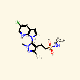 Cn1nc(C(F)(F)F)c(CCS(=O)(=O)NC(=O)O)c1-n1ccc2cc(Cl)cnc21